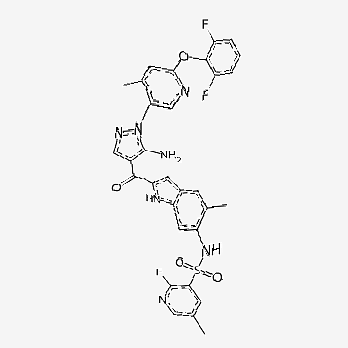 Cc1cnc(F)c(S(=O)(=O)Nc2cc3[nH]c(C(=O)c4cnn(-c5cnc(Oc6c(F)cccc6F)cc5C)c4N)cc3cc2C)c1